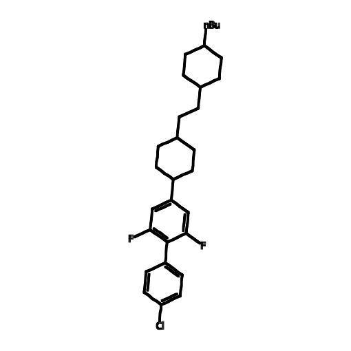 CCCCC1CCC(CCC2CCC(c3cc(F)c(-c4ccc(Cl)cc4)c(F)c3)CC2)CC1